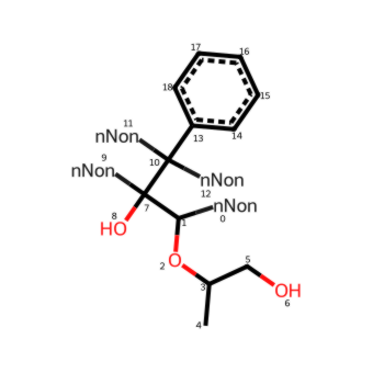 CCCCCCCCCC(OC(C)CO)C(O)(CCCCCCCCC)C(CCCCCCCCC)(CCCCCCCCC)c1ccccc1